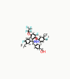 O=C(NC(Cc1ccc(CO)cc1)(c1cc(F)cc(OC(F)(F)C(F)F)c1)c1ccc(F)c(C(F)(F)F)c1)c1ccc(F)c(C(F)(F)F)c1